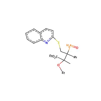 CCOC(=O)C(C)(OCC)C(CSc1ccc2ccccc2n1)([PH2]=O)C(C)C